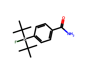 CC(C)(C)[Si](F)(c1ccc(C(N)=O)cc1)C(C)(C)C